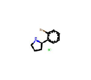 Brc1ccccc1C1CCCN1.Cl